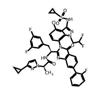 C[C@H](C(=O)N[C@@H](Cc1cc(F)cc(F)c1)c1nc2cc(-c3ccccc3F)ccc2c(=O)n1-c1ccc(Cl)c2c(NS(=O)(=O)C3CC3)nn(CC(F)F)c12)n1ccc(C2CC2)n1